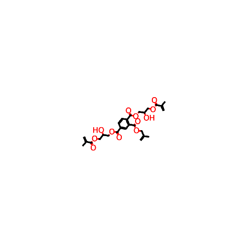 C=C(C)COC(=O)c1cc(C(=O)OCC(O)COC(=O)C(=C)C)ccc1C(=O)OCC(O)COC(=O)C(=C)C